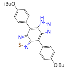 CC(C)COc1ccc(-c2c3nsnc3c(-c3ccc(OCC(C)C)cc3)c3[nH]nnc23)cc1